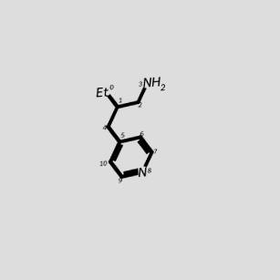 CCC(CN)Cc1ccncc1